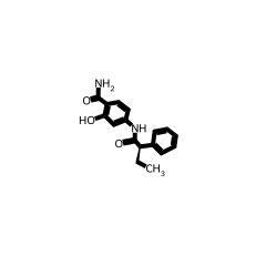 CC[C@@H](C(=O)Nc1ccc(C(N)=O)c(O)c1)c1ccccc1